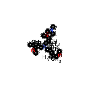 CC1(C)c2cc(N(c3ccc4c(c3)C(C)(C)c3cc(-c5cccc6c5c5ccccc5n6-c5ccccc5)c5oc6ccccc6c5c3-4)c3ccc4c(c3)C(C)(C)c3c5c(c6oc7ccccc7c6c3-4)-c3ccccc3C5(C)C)ccc2-c2cc3c(cc21)-c1c(ccc2oc4ccccc4c12)C3(C)C